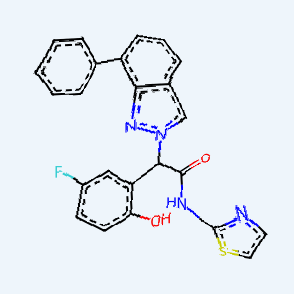 O=C(Nc1nccs1)C(c1cc(F)ccc1O)n1cc2cccc(-c3ccccc3)c2n1